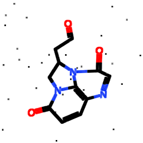 O=CCC1Cn2c(=O)ccc3ncc(=O)n1c32